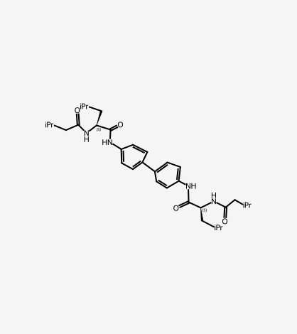 CC(C)CC(=O)N[C@@H](CC(C)C)C(=O)Nc1ccc(-c2ccc(NC(=O)[C@H](CC(C)C)NC(=O)CC(C)C)cc2)cc1